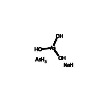 O[As](O)O.[AsH3].[NaH]